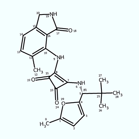 Cc1ccc([C@H](Nc2c(Nc3c(C)ccc4c3C(=O)NC4)c(=O)c2=O)C(C)(C)C)o1